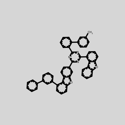 Cc1cccc(-c2ccccc2-c2nc(-c3ccc4c(c3)oc3cccc(-c5cccc(-c6ccccc6)c5)c34)nc(-c3cccc4oc5ccccc5c34)n2)c1